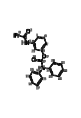 CC(C)C(=O)Nc1cccc(OC(=O)N(c2ccccc2)c2ccccc2)c1